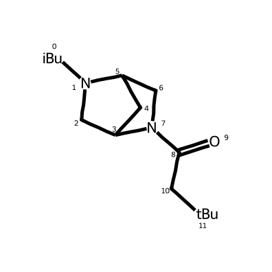 CCC(C)N1CC2CC1CN2C(=O)CC(C)(C)C